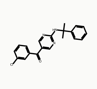 CC(C)(Nc1ncc(C(=O)c2cccc(Cl)c2)cn1)c1ccccc1